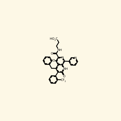 O=C(O)CCNC(=O)c1nc(-c2cccnc2)c2[nH]c(=O)c(-c3ccccc3C(F)(F)F)c(Cc3ccccc3)c2c1O